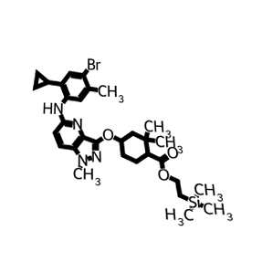 Cc1cc(Nc2ccc3c(n2)c(OC2CCC(C(=O)OCC[Si](C)(C)C)C(C)(C)C2)nn3C)c(C2CC2)cc1Br